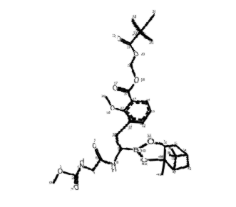 COC(=O)NCC(=O)NC(Cc1cccc(C(=O)OCOC(=O)C(C)(C)C)c1OC)B1OC2CC3CC(C3(C)C)C2(C)O1